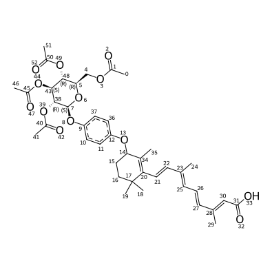 CC(=O)OC[C@H]1O[C@@H](Oc2ccc(OC3CCC(C)(C)C(C=CC(C)=CC=CC(C)=CC(=O)O)=C3C)cc2)[C@H](OC(C)=O)[C@@H](OC(C)=O)[C@@H]1OC(C)=O